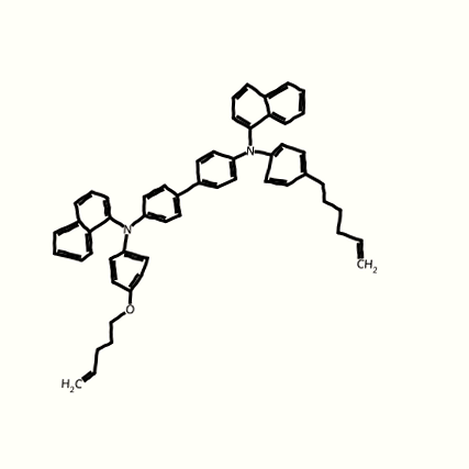 C=CCCCCc1ccc(N(c2ccc(-c3ccc(N(c4ccc(OCCCC=C)cc4)c4cccc5ccccc45)cc3)cc2)c2cccc3ccccc23)cc1